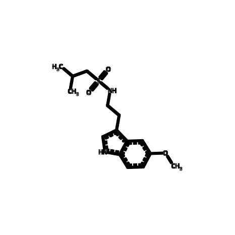 COc1ccc2[nH]cc(CCNS(=O)(=O)CC(C)C)c2c1